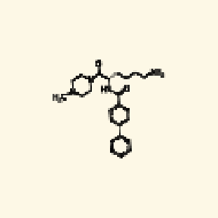 CN1CCN(C(=O)[C@H](CCCCN)NC(=O)c2ccc(-c3ccccc3)cc2)CC1